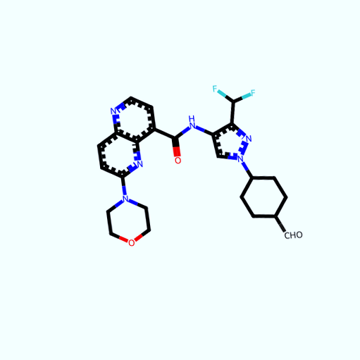 O=CC1CCC(n2cc(NC(=O)c3ccnc4ccc(N5CCOCC5)nc34)c(C(F)F)n2)CC1